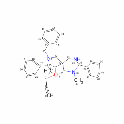 C#CCOCC1(CN(Cc2ccccc2)C(C)c2ccccc2)CNC(c2ccccc2)N(C)C1